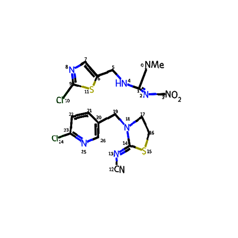 CN/C(=N\[N+](=O)[O-])NCc1cnc(Cl)s1.N#C/N=C1\SCCN1Cc1ccc(Cl)nc1